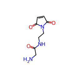 NCC(=O)NCCN1C(=O)C=CC1=O